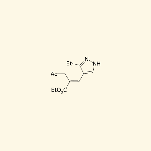 CCOC(=O)C(=Cc1c[nH]nc1CC)CC(C)=O